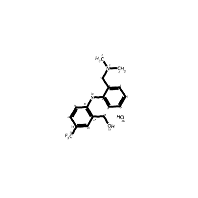 CN(C)Cc1ccccc1Sc1ccc(C(F)(F)F)cc1CO.Cl